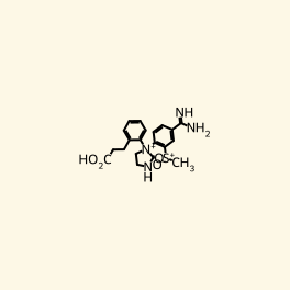 C[S+]([O-])c1cc(C(=N)N)ccc1[N+]1(c2ccccc2CCC(=O)O)CCNC1=O